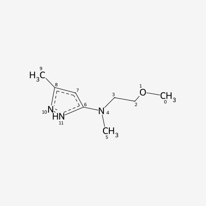 COCCN(C)c1cc(C)n[nH]1